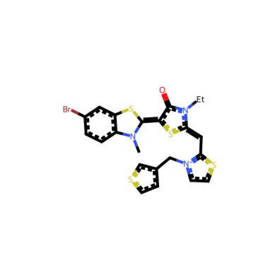 CCn1c(=O)/c(=C2\Sc3cc(Br)ccc3N2C)s/c1=C\c1scc[n+]1Cc1ccsc1